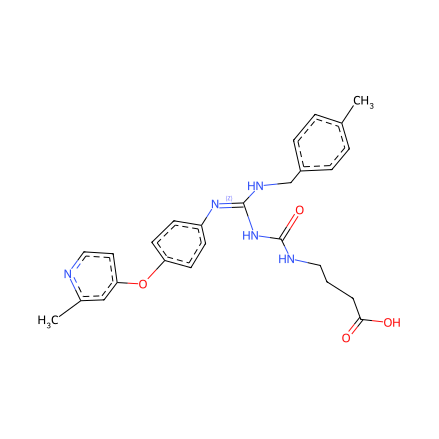 Cc1ccc(CN/C(=N/c2ccc(Oc3ccnc(C)c3)cc2)NC(=O)NCCCC(=O)O)cc1